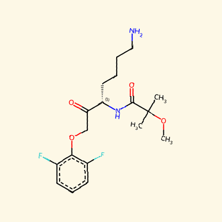 COC(C)(C)C(=O)N[C@@H](CCCCN)C(=O)COc1c(F)cccc1F